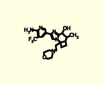 CC1C(O)c2nc(-c3cnc(N)c(C(F)(F)F)c3)cn2C2(CCN3CCOCC3)CCC12